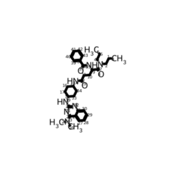 CCCN(CCC)C(=O)C(CCC(=O)N[C@H]1CC[C@@H](Nc2nc(N(C)C)c3ccccc3n2)CC1)NC(=O)c1ccccc1